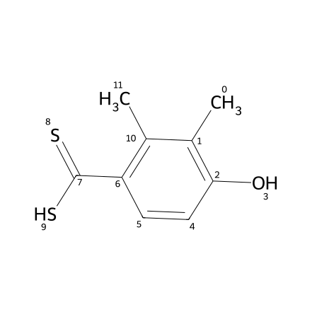 Cc1c(O)ccc(C(=S)S)c1C